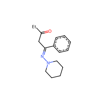 CCC(=O)CC(=NN1CCCCC1)c1ccccc1